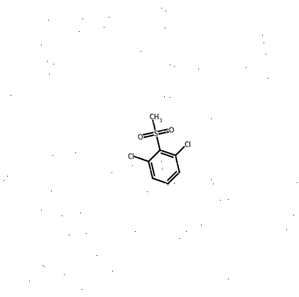 CS(=O)(=O)c1c(Cl)c[c]cc1Cl